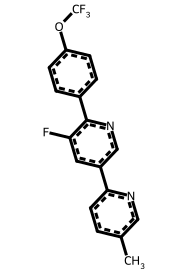 Cc1ccc(-c2cnc(-c3ccc(OC(F)(F)F)cc3)c(F)c2)nc1